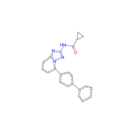 O=C(Nc1nc2cccc(-c3ccc(-c4ccccc4)cc3)n2n1)C1CC1